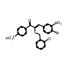 O=C(O)c1ccc(C(=O)C(=Cc2ccc(Br)c([N+](=O)[O-])c2)SCc2ccccc2Cl)cc1